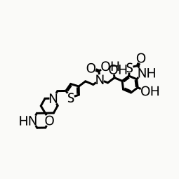 O=C(O)N(CCc1csc(CN2CCC3(CC2)CNCCO3)c1)CC(O)c1ccc(O)c2[nH]c(=O)sc12